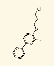 Cc1cc(-c2ccccc2)ccc1OCCCCl